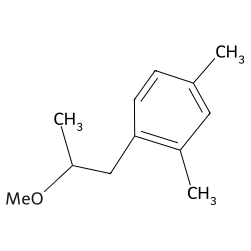 COC(C)Cc1ccc(C)cc1C